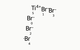 [Br-].[Br-].[Br-].[Br-].[Br].[Ti+4]